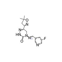 CC1(C)CC(C2=NNC(=O)N(/N=C/c3cncc(F)c3)C2)=NO1